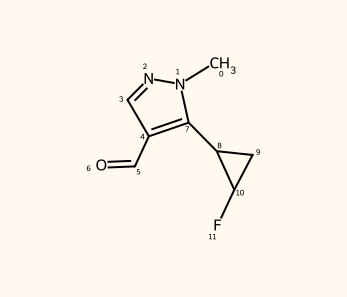 Cn1ncc(C=O)c1C1CC1F